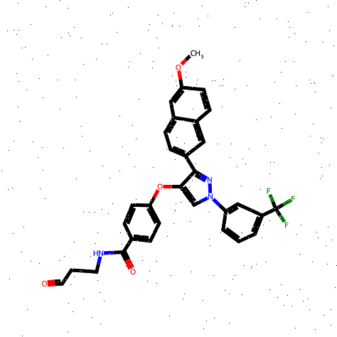 COc1ccc2cc(-c3nn(-c4cccc(C(F)(F)F)c4)cc3Oc3ccc(C(=O)NCCC=O)cc3)ccc2c1